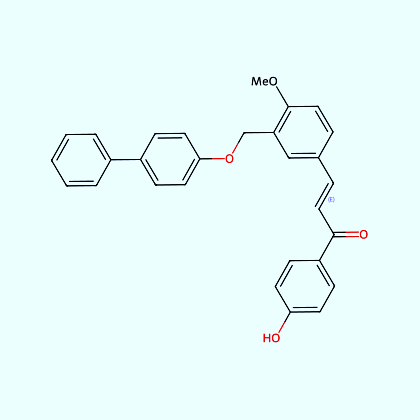 COc1ccc(/C=C/C(=O)c2ccc(O)cc2)cc1COc1ccc(-c2ccccc2)cc1